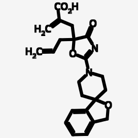 C=CCC1(CC(=C)C(=O)O)OC(N2CCC3(CC2)OCc2ccccc23)=NC1=O